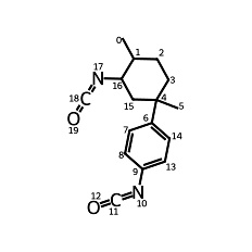 CC1CCC(C)(c2ccc(N=C=O)cc2)CC1N=C=O